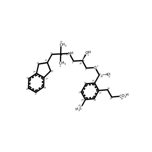 CC[C@@H](OC[C@H](O)CNC(C)(C)CC1Cc2ccccc2C1)c1ccc(C)cc1CCC(=O)O